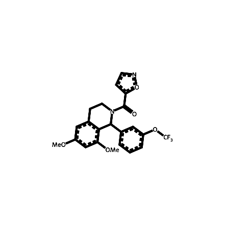 COc1cc2c(c(OC)c1)C(c1cccc(OC(F)(F)F)c1)N(C(=O)c1ccno1)CC2